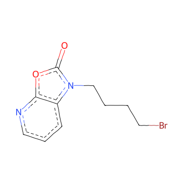 O=c1oc2ncccc2n1CCCCBr